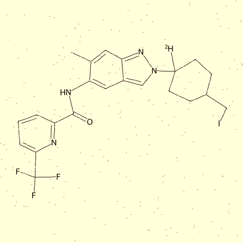 [2H]C1(n2cc3cc(NC(=O)c4cccc(C(F)(F)F)n4)c(C)cc3n2)CCC(CI)CC1